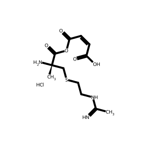 CC(=N)NCCSC[C@](C)(N)C(=O)OC(=O)/C=C\C(=O)O.Cl